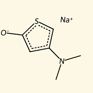 CN(C)c1csc([O-])c1.[Na+]